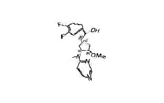 CO[C@@H]1C[C@@H]([C@@H](O)c2ccc(F)c(F)c2)C[C@H]1N(C)c1ccncn1